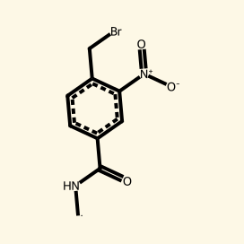 [CH2]NC(=O)c1ccc(CBr)c([N+](=O)[O-])c1